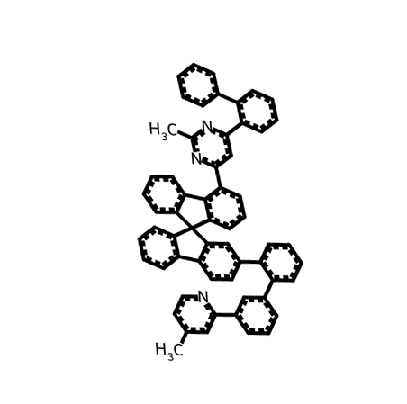 Cc1ccnc(-c2cccc(-c3ccccc3-c3ccc4c(c3)C3(c5ccccc5-4)c4ccccc4-c4c(-c5cc(-c6ccccc6-c6ccccc6)nc(C)n5)cccc43)c2)c1